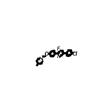 CC1CCN(CCOc2ccc(-c3ncc(-c4ccc(Cl)cc4)cc3F)cc2)CC1